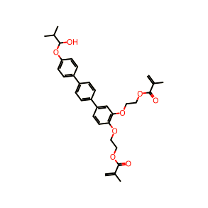 C=C(C)C(=O)OCCOc1ccc(-c2ccc(-c3ccc(OC(O)C(C)C)cc3)cc2)cc1OCCOC(=O)C(=C)C